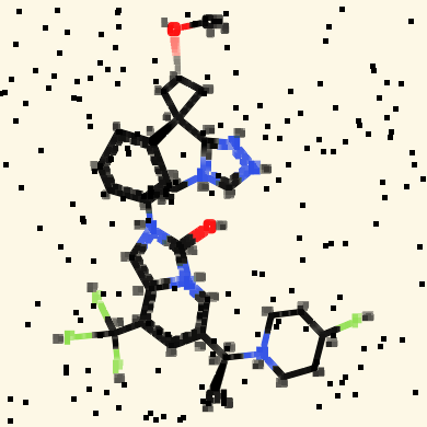 CO[C@H]1C[C@@](c2cccc(-n3cc4c(C(F)(F)F)cc([C@H](C)N5CCC(F)CC5)cn4c3=O)c2)(c2nncn2C)C1